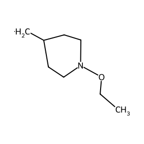 [CH2]C1CCN(OCC)CC1